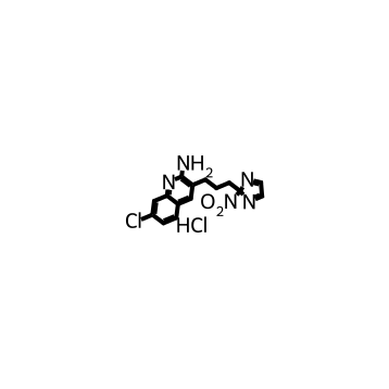 Cl.Nc1nc2cc(Cl)ccc2cc1CCCC1([N+](=O)[O-])N=CC=N1